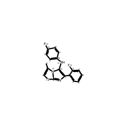 Cc1csc2nc(-c3ccccc3F)c(Nc3ccc(F)cc3)n12